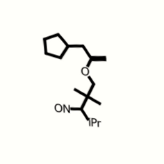 C=C(CC1CCCC1)OCC(C)(C)C(N=O)C(C)C